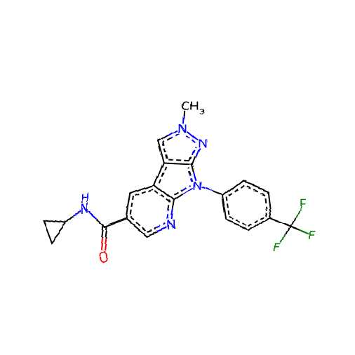 Cn1cc2c3cc(C(=O)NC4CC4)cnc3n(-c3ccc(C(F)(F)F)cc3)c2n1